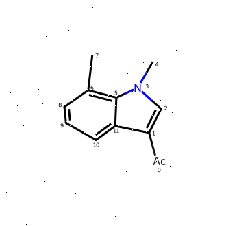 CC(=O)c1cn(C)c2c(C)cccc12